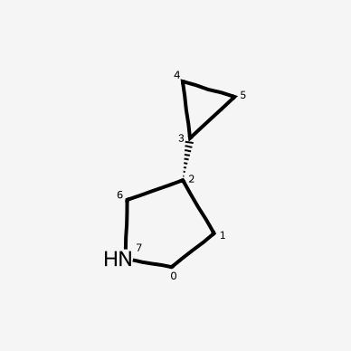 C1C[C@@H](C2CC2)CN1